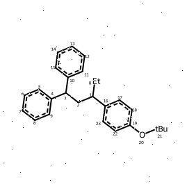 CCC(CC(c1ccccc1)c1ccccc1)c1ccc(OC(C)(C)C)cc1